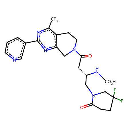 O=C(O)N[C@@H](CC(=O)N1CCc2c(nc(-c3cccnc3)nc2C(F)(F)F)C1)CN1CC(F)(F)CCC1=O